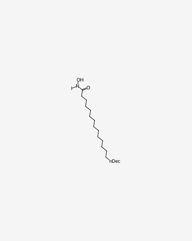 CCCCCCCCCCCCCCCCCCCCCCCC(=O)N(O)I